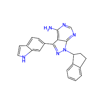 Nc1ncnc2c1c(-c1ccc3cc[nH]c3c1)nn2C1CCc2ccccc21